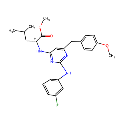 COC(=O)[C@@H](CC(C)C)Nc1cc(Cc2ccc(OC)cc2)nc(Nc2cccc(F)c2)n1